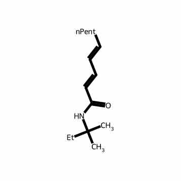 CCCCC/C=C/C=C/C(=O)NC(C)(C)CC